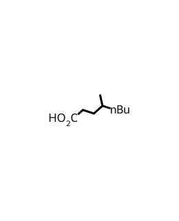 CCCCC(C)CCC(=O)O